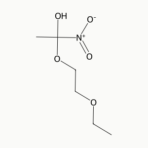 CCOCCOC(C)(O)[N+](=O)[O-]